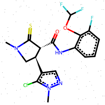 CN1C[C@H](c2cnn(C)c2Cl)[C@@H](C(=O)Nc2cccc(F)c2OC(F)F)C1=S